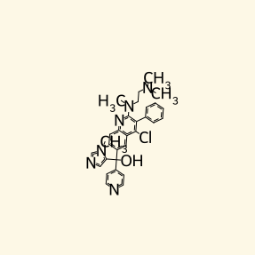 CN(C)CCN(C)c1nc2ccc(C(O)(c3ccncc3)c3cncn3C)cc2c(Cl)c1-c1ccccc1